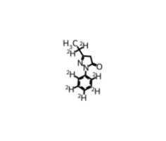 [2H]c1c([2H])c([2H])c(N2N=C(C([2H])([2H])C)CC2=O)c([2H])c1[2H]